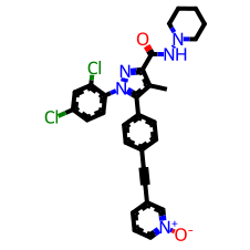 Cc1c(C(=O)NN2CCCCC2)nn(-c2ccc(Cl)cc2Cl)c1-c1ccc(C#Cc2ccc[n+]([O-])c2)cc1